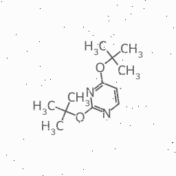 CC(C)(C)Oc1[c]cnc(OC(C)(C)C)n1